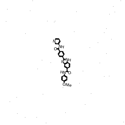 COc1ccc(NC(=O)c2ccc3[nH]c(-c4ccc(C(=O)Nc5cccnc5)cc4)nc3c2)cc1